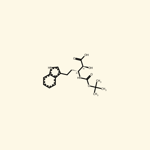 CC(C)(C)OC(=O)N[C@H](CCc1c[nH]c2ccccc12)[C@H](O)C(=O)O